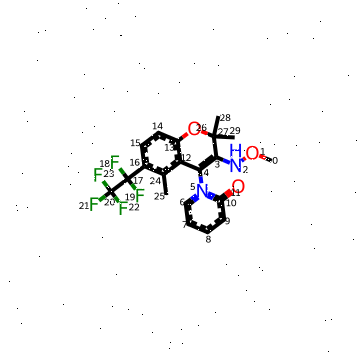 CONC1=C(n2ccccc2=O)c2c(ccc(C(F)(F)C(F)(F)F)c2C)OC1(C)C